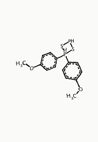 COc1ccc([PH]2(c3ccc(OC)cc3)SPS2)cc1